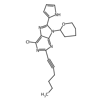 CCCCC#Cc1nc(Cl)c2nc(-c3ccc[nH]3)n(C3CCCCO3)c2n1